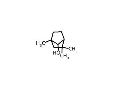 CC1(C)CC2(C)CCC1C2O